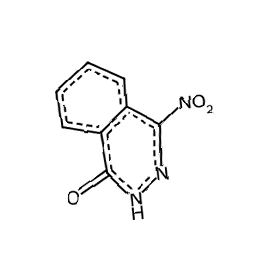 O=c1[nH]nc([N+](=O)[O-])c2ccccc12